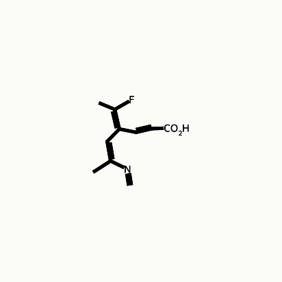 C=N\C(C)=C/C(/C=C/C(=O)O)=C(\C)F